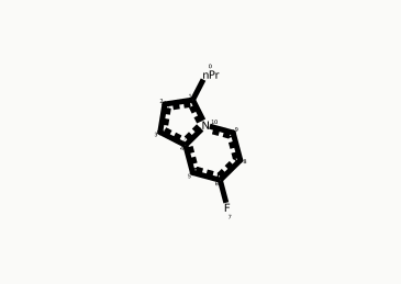 CCCc1ccc2cc(F)ccn12